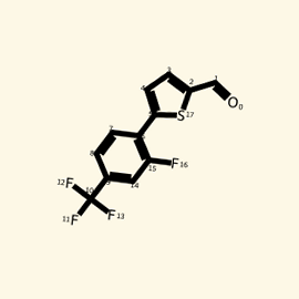 O=Cc1ccc(-c2ccc(C(F)(F)F)cc2F)s1